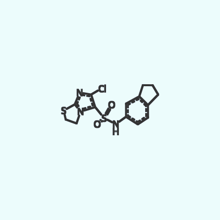 O=S(=O)(Nc1ccc2c(c1)CCC2)c1c(Cl)nc2n1CCS2